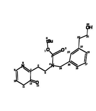 CC(C)(C)OC(=O)N(CCC1=NC=CCC1=O)Cc1cccc(CCO)c1